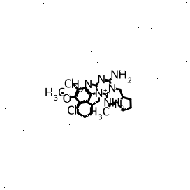 CCN1CCCC1CN1C(N)=NC(N)[N+](CC2CCCCC2)(c2cc(Cl)c(OC)c(Cl)c2)C1N